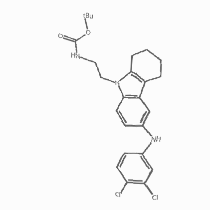 CC(C)(C)OC(=O)NCCn1c2c(c3cc(Nc4ccc(Cl)c(Cl)c4)ccc31)CCCC2